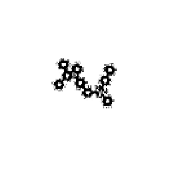 C1=C(c2cccc(-c3nc(-c4ccccc4)nc(-c4ccc(-c5ccccc5)cc4)n3)c2)CCC(n2c3ccccc3c3c(-c4ccccc4)cc(-c4ccccc4)cc32)=C1